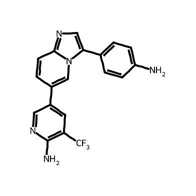 Nc1ccc(-c2cnc3ccc(-c4cnc(N)c(C(F)(F)F)c4)cn23)cc1